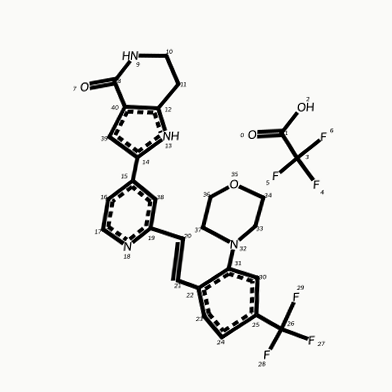 O=C(O)C(F)(F)F.O=C1NCCc2[nH]c(-c3ccnc(C=Cc4ccc(C(F)(F)F)cc4N4CCOCC4)c3)cc21